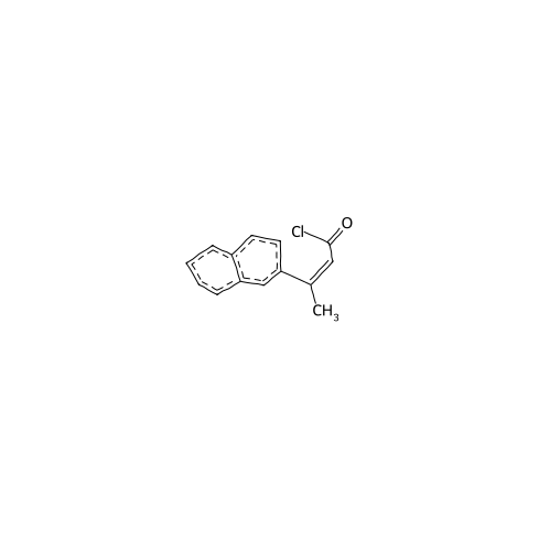 C/C(=C/C(=O)Cl)c1ccc2ccccc2c1